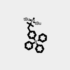 CC(C)(C)[P+](C)(C(C)(C)C)C(C)(C)Cc1ccc([B-](c2ccccc2)(c2ccccc2)c2ccccc2)cc1